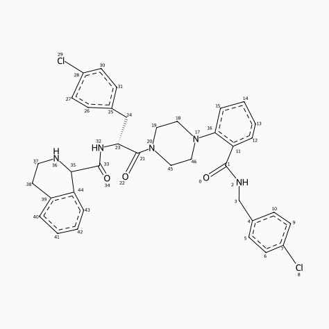 O=C(NCc1ccc(Cl)cc1)c1ccccc1N1CCN(C(=O)[C@@H](Cc2ccc(Cl)cc2)NC(=O)C2N[CH]Cc3ccccc32)CC1